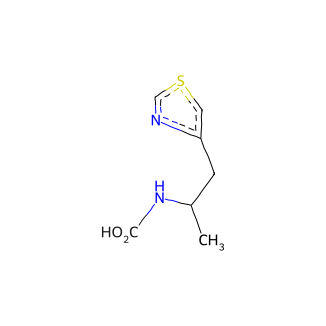 CC(Cc1cscn1)NC(=O)O